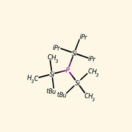 CC(C)[Si](C(C)C)(C(C)C)P([Si](C)(C)C(C)(C)C)[Si](C)(C)C(C)(C)C